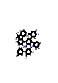 Cc1ccc(N2B3c4cc(C)ccc4-n4c5ccccc5c5c(-c6ccccc6C)cc(c3c54)-c3c2ccc2c3-c3ccccc3C2(C)C)cc1